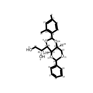 Cc1ccc(C2O[C@H]([C@H](O)CO)[C@@H]3OC(c4ccccc4)OC[C@@H]3O2)c(C)c1